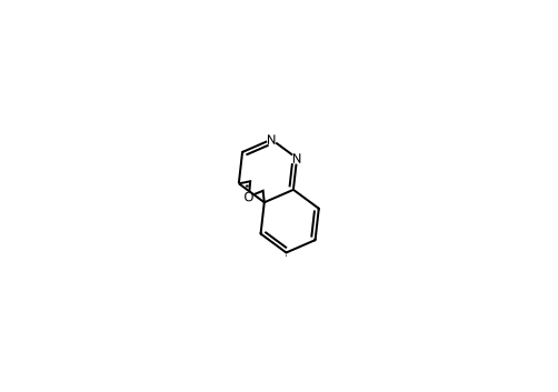 [C]1=CC23COC=C2C=NN=C3C=C1